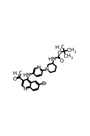 CC(=O)c1cnc2ccc(Br)cc2c1Nc1ccc(N2CCCC(NC(=O)OC(C)(C)C)C2)nc1